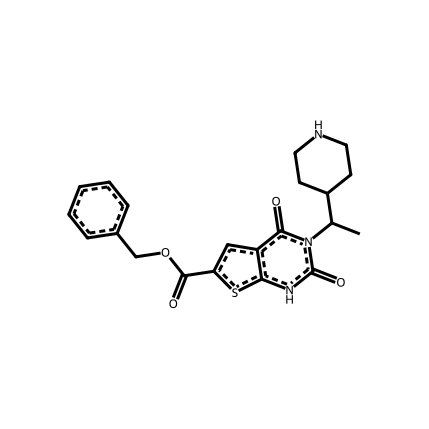 CC(C1CCNCC1)n1c(=O)[nH]c2sc(C(=O)OCc3ccccc3)cc2c1=O